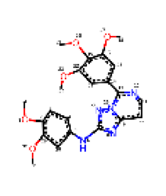 COc1ccc(Nc2nc3ccnc(-c4cc(OC)c(OC)c(OC)c4)n3n2)cc1OC